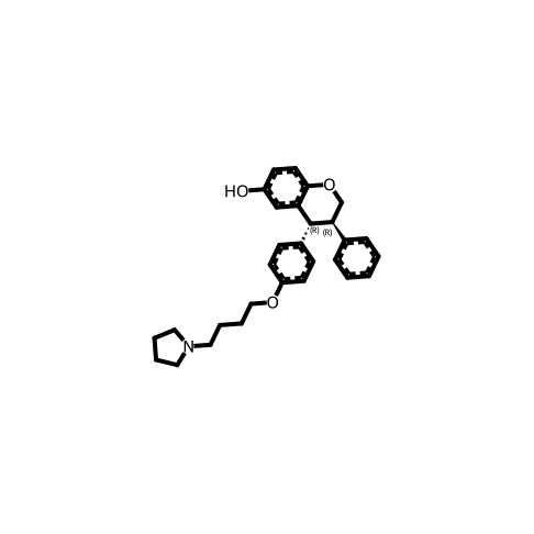 Oc1ccc2c(c1)[C@@H](c1ccc(OCCCCN3CCCC3)cc1)[C@H](c1ccccc1)CO2